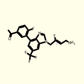 CC(=O)c1ccc(F)c(-c2cc(C(F)(F)F)cc3c2ncn3C/C(F)=C/CN)c1